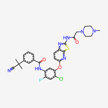 CN1CCN(CC(=O)Nc2nc3ccc(Oc4cc(NC(=O)c5cccc(C(C)(C)C#N)c5)c(F)cc4Cl)nc3s2)CC1